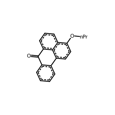 CCCOc1ccc2c3c(cccc13)C(=O)c1ccccc1-2